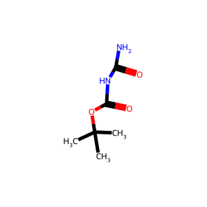 CC(C)(C)OC(=O)NC(N)=O